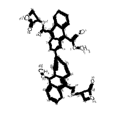 COC(=O)c1c2ccccc2c(C(=O)OC2COC2=O)c2ccc(-c3ccc4c(CSC5COC5=O)c5ccccc5c(OC)c4c3)cc12